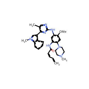 C=C/C=C\C(=O)Nc1cc(Nc2ncc(C)c(-c3cn(C)c4ccccc34)n2)c(OC)cc1N1CCN(C)CC1